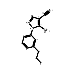 CCCc1cccc(-n2ncc(C#N)c2N)c1